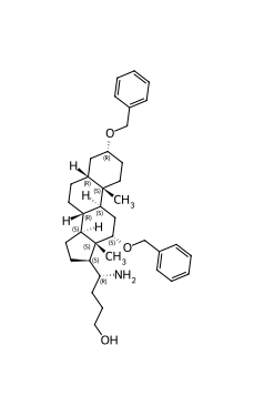 C[C@]12CC[C@@H](OCc3ccccc3)C[C@H]1CC[C@@H]1[C@@H]2C[C@H](OCc2ccccc2)[C@]2(C)[C@@H]([C@H](N)CCCO)CC[C@@H]12